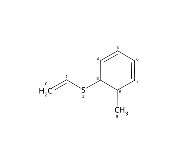 C=CSC1C=CC=CC1C